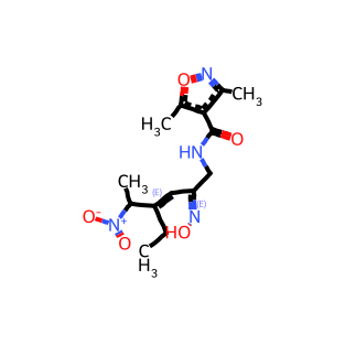 CC/C(=C\C(CNC(=O)c1c(C)noc1C)=N/O)C(C)[N+](=O)[O-]